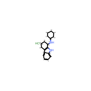 Cl.c1ccc2c3c([nH]c2c1)C(NC1CCCCC1)CCC3